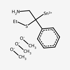 CCS[C]([Sn+3])(CN)c1ccccc1.C[O-].C[O-].C[O-]